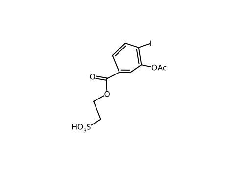 CC(=O)Oc1cc(C(=O)OCCS(=O)(=O)O)ccc1I